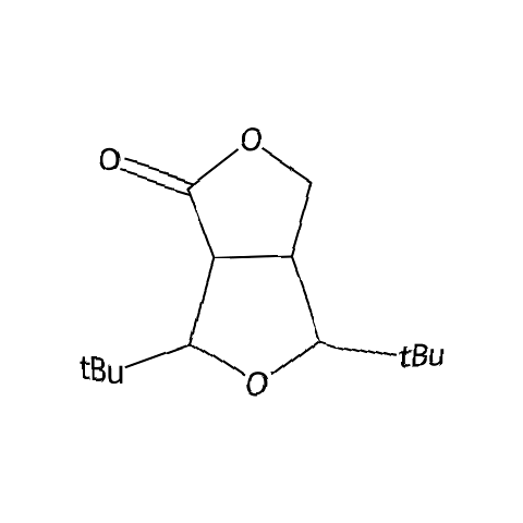 CC(C)(C)C1OC(C(C)(C)C)C2C(=O)OCC21